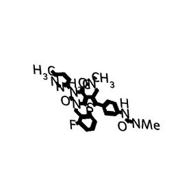 CNC(=O)Nc1ccc(-c2sc3c(c2CN(C)C)c(=O)n(-c2ccc(C)nn2)c(=O)n3Cc2c(F)cccc2F)cc1